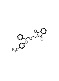 O=C1c2ccccc2C(=O)N1CCOCC(Oc1ccc(C(F)(F)F)cc1)c1ccccc1